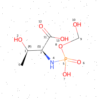 C[C@@H](O)[C@H](NP(=O)(O)OCO)C(=O)O